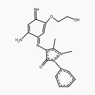 Cc1c(N=C2C=C(OCCO)C(=N)C=C2N)c(=O)n(-c2ccccc2)n1C